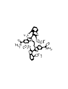 CCOC(=O)c1sc2cccc(C(F)(F)F)c2c1-c1nc2cc(C(N)=O)ccc2n1CCn1c(-c2c(C(=O)OCC)sc3cccc(C(F)(F)F)c23)nc2cc(C(N)=O)ccc21